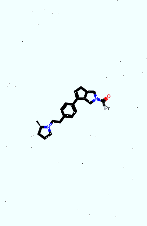 CC(C)C(=O)N1CC2CC=C(c3ccc(CCN4CCC[C@H]4C)cc3)C2C1